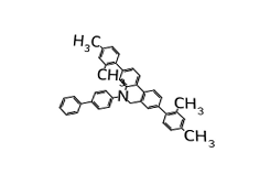 Cc1ccc(-c2ccc3c(c2)CN(c2ccc(-c4ccccc4)cc2)c2cc(-c4ccc(C)cc4C)ccc2-3)c(C)c1